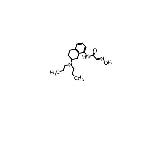 CCCN(CCC)C1CCc2cccc(NC(=O)/C=N/O)c2C1